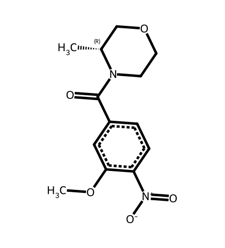 COc1cc(C(=O)N2CCOC[C@H]2C)ccc1[N+](=O)[O-]